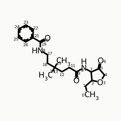 CCC1OCC(=O)C1NC(=O)CCC(C)(C)CCNC(=O)c1ccccc1